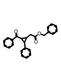 O=C(CC1C(C(=O)c2ccccc2)C1c1ccccc1)OCc1ccccc1